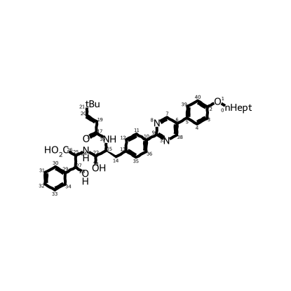 CCCCCCCOc1ccc(-c2cnc(-c3ccc(C[C@H](NC(=O)/C=C/C(C)(C)C)C(O)NC(C(=O)O)C(O)c4ccccc4)cc3)nc2)cc1